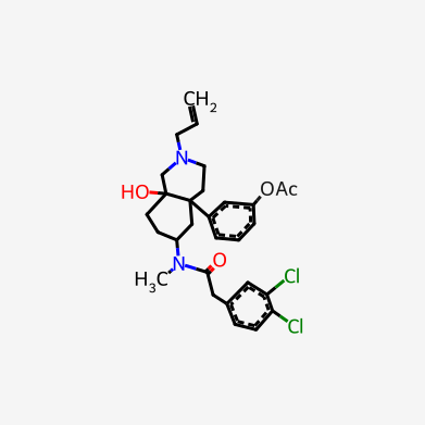 C=CCN1CCC2(c3cccc(OC(C)=O)c3)CC(N(C)C(=O)Cc3ccc(Cl)c(Cl)c3)CCC2(O)C1